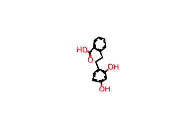 O=C(O)c1ccccc1CCc1ccc(O)cc1O